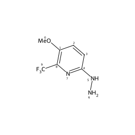 COc1ccc(NN)nc1C(F)(F)F